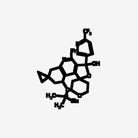 CC(C)c1nc2c(c3c1C(O)(c1ccc(C(F)(F)F)nc1)OC31CCOCC1)C(O[Si](C)(C)C(C)(C)C)CC1(CC1)C2